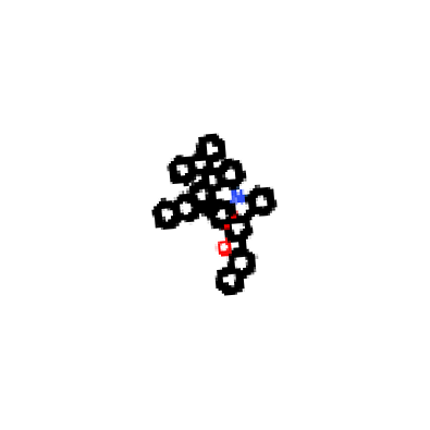 c1cc(-c2ccc3ccccc3c2)cc(N(c2ccccc2-c2ccc3oc4c5ccccc5ccc4c3c2)c2cccc3c2-c2ccccc2C32c3ccccc3-c3ccccc32)c1